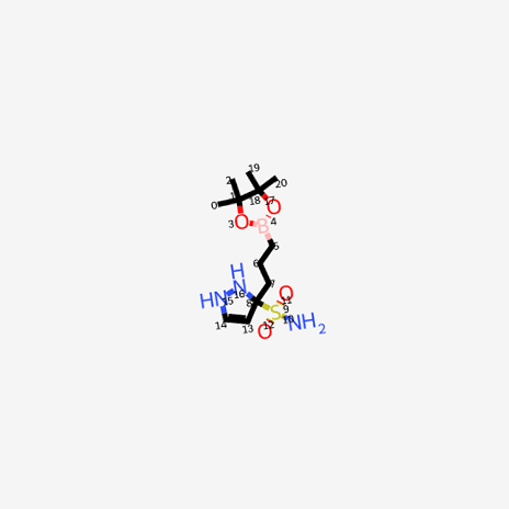 CC1(C)OB(CCCC2(S(N)(=O)=O)C=CNN2)OC1(C)C